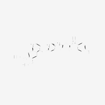 CCc1cc2c(Oc3ccc(NC(=O)CC(=O)Nc4ccc(F)cc4)cn3)ccnc2cc1OC